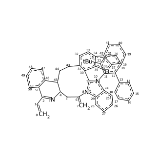 C=CC1=NC2CC(=C)[n+]3c(n(-c4c(-c5ccccc5)cccc4C(C)(C)C)c4ccccc43)-c3c(ccc4c3oc3ccccc34)CCC2c2ccccc21